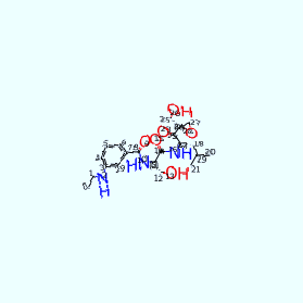 CCNc1cccc(C(=O)N[C@@H](CO)C(=O)N[C@@H](CC(C)C)C(=O)[C@@]2(CO)CO2)c1